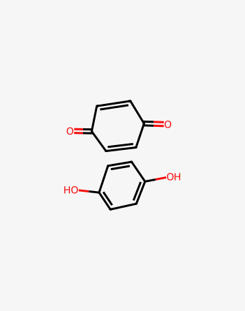 O=C1C=CC(=O)C=C1.Oc1ccc(O)cc1